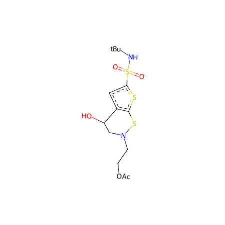 CC(=O)OCCN1CC(O)c2cc(S(=O)(=O)NC(C)(C)C)sc2S1